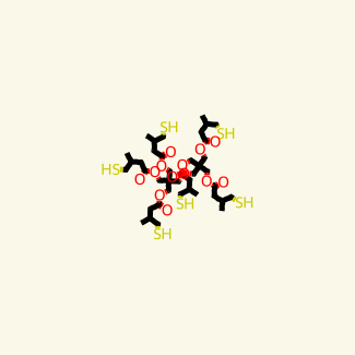 CC(CS)CC(=O)OCC(COCC(COC(=O)CC(C)CS)(COC(=O)CC(C)CS)COC(=O)CC(C)CS)(COC(=O)CC(C)CS)COC(=O)CC(C)CS